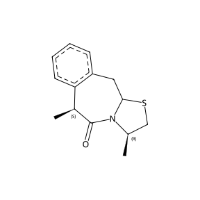 C[C@@H]1C(=O)N2C(Cc3ccccc31)SC[C@H]2C